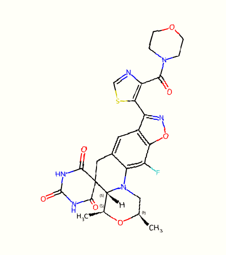 C[C@@H]1CN2c3c(cc4c(-c5scnc5C(=O)N5CCOCC5)noc4c3F)CC3(C(=O)NC(=O)NC3=O)[C@H]2[C@H](C)O1